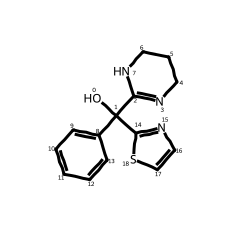 OC(C1=NCCCN1)(c1ccccc1)c1nccs1